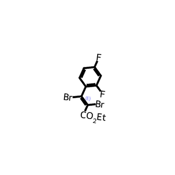 CCOC(=O)/C(Br)=C(\Br)c1ccc(F)cc1F